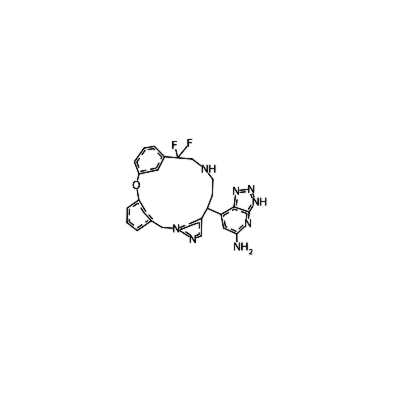 Nc1cc(C2CCNCC(F)(F)c3cccc(c3)Oc3cccc(c3)Cn3cc2cn3)c2nn[nH]c2n1